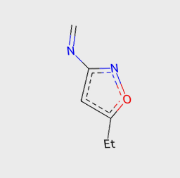 C=Nc1cc(CC)on1